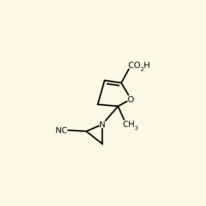 CC1(N2CC2C#N)CC=C(C(=O)O)O1